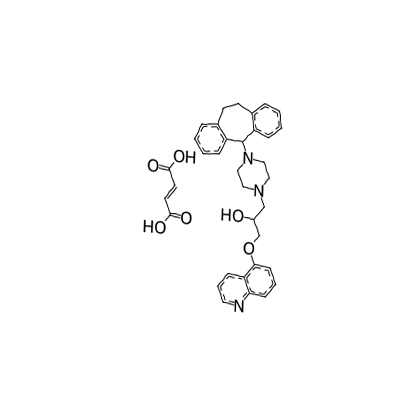 O=C(O)/C=C/C(=O)O.OC(COc1cccc2ncccc12)CN1CCN(C2c3ccccc3CCc3ccccc32)CC1